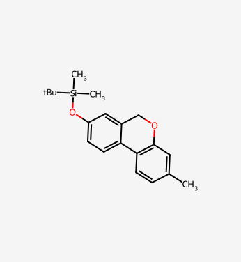 Cc1ccc2c(c1)OCc1cc(O[Si](C)(C)C(C)(C)C)ccc1-2